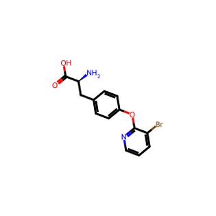 N[C@@H](Cc1ccc(Oc2ncccc2Br)cc1)C(=O)O